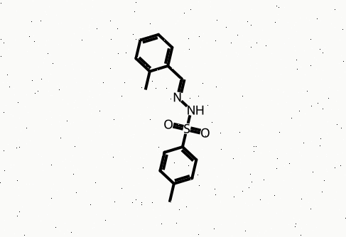 Cc1ccc(S(=O)(=O)NN=Cc2ccccc2C)cc1